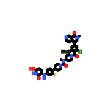 COc1cc(-c2cn(C)c(=O)c3cnccc23)cc(Cl)c1C(=O)N1CCC(N(C)C(=O)N2CCC(c3ccc(NC4CCC(O)NC4=O)cc3F)CC2)CC1